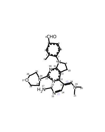 Cc1cc(C=O)ccc1N1CCc2c(C(/C=N\CN)=C/N(C)C)nc(N3CCOCC3)nc21